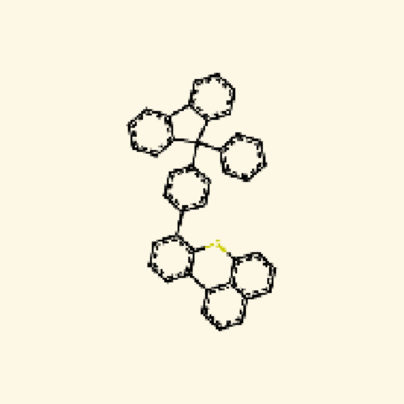 c1ccc(C2(c3ccc(-c4cccc5c4Sc4cccc6cccc-5c46)cc3)c3ccccc3-c3ccccc32)cc1